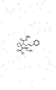 CCC(=O)N(NCC(C)C)C1([C@H](C/C=C/c2ccccc2)C(=O)OC(C)(C)C)CCC1